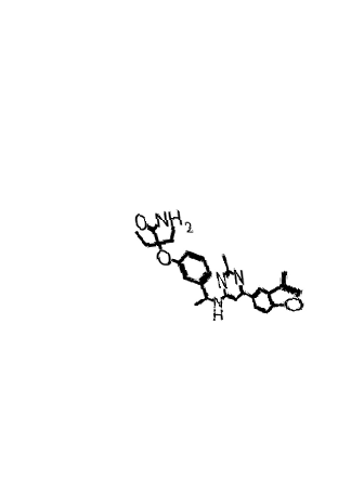 CCC(CC)(Oc1cccc(C(C)Nc2cc(-c3ccc4occ(C)c4c3)nc(C)n2)c1)C(N)=O